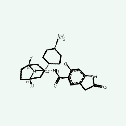 N[C@H]1CC[C@H](CN2[C@@H]3CC[C@H]2C[C@@H](NC(=O)c2cc4c(cc2Cl)NC(=O)C4)C3)CC1